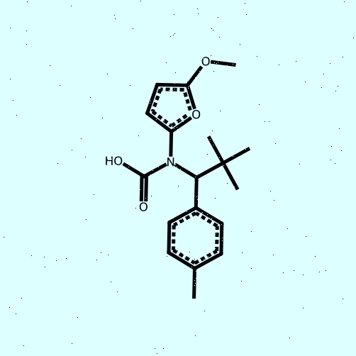 COc1ccc(N(C(=O)O)C(c2ccc(C)cc2)C(C)(C)C)o1